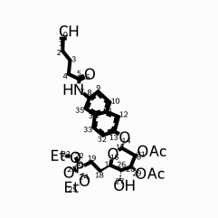 C#CCCCC(=O)Nc1ccc2cc(O[C@H]3O[C@H](CCP(=O)(OCC)OCC)[C@@H](O)[C@H](OC(C)=O)[C@@H]3OC(C)=O)ccc2c1